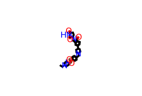 CCN1CCN(S(=O)(=O)c2ccc(CN3CCC(c4ccc5c(c4)CN(C4CCC(=O)NC4=O)C5=O)CC3)cc2)CC1